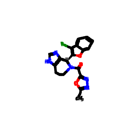 Cc1nnc(C(=O)N2CCc3[nH]cnc3[C@@H]2c2oc3ccccc3c2F)o1